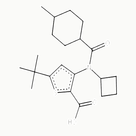 CC1CCC(C(=O)N(c2cc(C(C)(C)C)sc2C(=O)O)C2CCC2)CC1